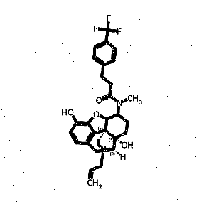 C=CCN1CC[C@]23c4c5ccc(O)c4OC2C(N(C)C(=O)CCc2ccc(C(F)(F)F)cc2)CC[C@@]3(O)[C@H]1C5